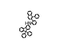 c1ccc(-c2c(-c3ccccc3Nc3ccc4c(c3)-c3ccccc3C4(c3ccccc3)c3ccccc3)ccc3ccccc23)cc1